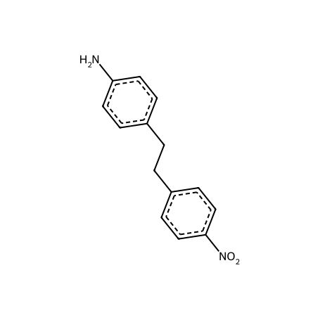 Nc1ccc(CCc2ccc([N+](=O)[O-])cc2)cc1